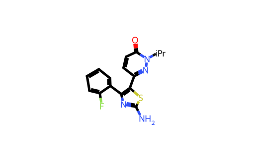 CC(C)n1nc(-c2sc(N)nc2-c2ccccc2F)ccc1=O